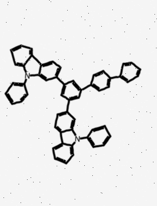 c1ccc(-c2ccc(-c3cc(-c4ccc5c6ccccc6n(-c6ccccc6)c5c4)cc(-c4ccc5c6ccccc6n(-c6ccccc6)c5c4)c3)cc2)cc1